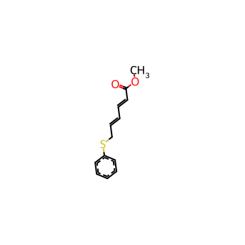 COC(=O)C=CC=CCSc1ccccc1